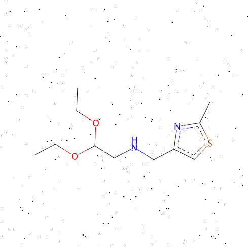 CCOC(CNCc1csc(C)n1)OCC